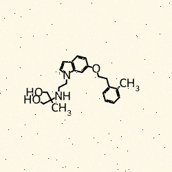 Cc1ccccc1CCOc1ccc2ccn(CCNC(C)(CO)CO)c2c1